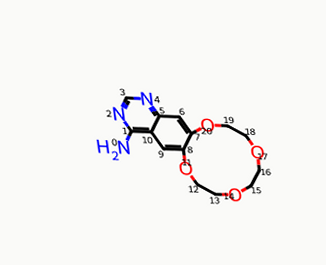 Nc1ncnc2cc3c(cc12)OCCOCCOCCO3